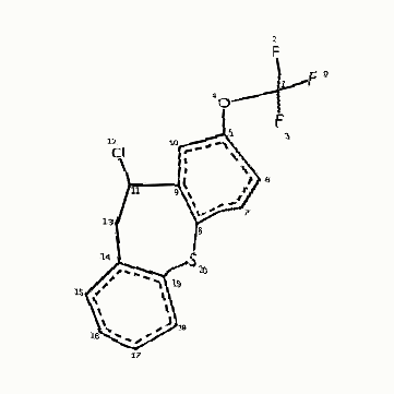 FC(F)(F)Oc1ccc2c(c1)C(Cl)Cc1ccccc1S2